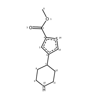 COC(=O)c1cc(C2CCNCC2)cs1